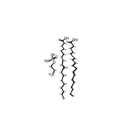 CCCCCCCCCCCCCCCCCC(=O)O.CCCCCCCCCCCCCCCCCC(=O)O.NCCOP(=O)(O)O